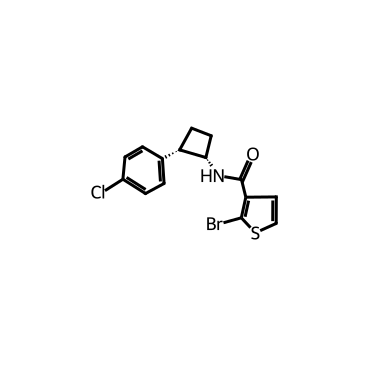 O=C(N[C@H]1CC[C@H]1c1ccc(Cl)cc1)c1ccsc1Br